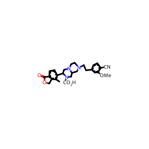 COc1cc(CCN2CCN3CC(c4ccc5c(c4C)COC5=O)N(C(=O)O)CC3C2)ccc1C#N